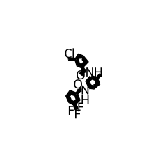 Cc1ccc(NC(=O)c2cccc(C(F)(F)F)c2)cc1NC(=O)c1cccc(CCl)c1